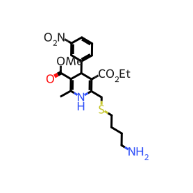 CCOC(=O)C1=C(CSCCCCN)NC(C)=C(C(=O)OC)C1c1cccc([N+](=O)[O-])c1